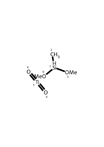 CO[SiH](C)OC.[O]=[Ti]=[O]